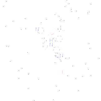 COC(=O)c1cccc(-c2cc3nn(CCC(C)(C)O)cc3cc2NC(=O)c2csc(-c3cccnc3)n2)c1